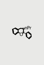 CCC[C@H]1Cc2ccccc2O[C@H]1c1ccccc1